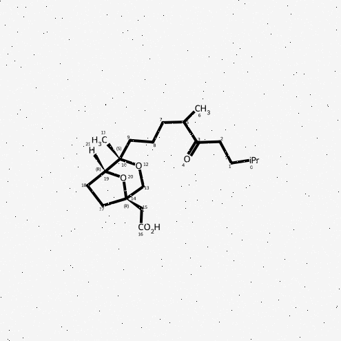 CC(C)CCC(=O)C(C)CCC[C@]1(C)OC[C@]2(CC(=O)O)CC[C@H]1O2